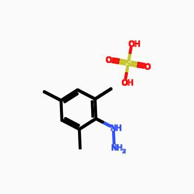 Cc1cc(C)c(NN)c(C)c1.O=S(=O)(O)O